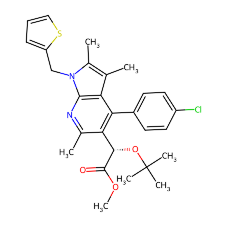 COC(=O)[C@@H](OC(C)(C)C)c1c(C)nc2c(c(C)c(C)n2Cc2cccs2)c1-c1ccc(Cl)cc1